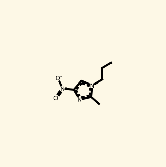 CC[CH]n1cc([N+](=O)[O-])nc1C